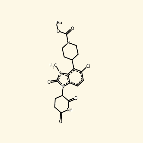 Cn1c(=O)n(C2CCC(=O)NC2=O)c2ccc(Cl)c(C3CCN(C(=O)OC(C)(C)C)CC3)c21